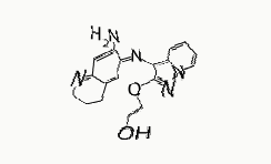 NC1=CC2=NCCCC2=CC1=Nc1c(OCCO)nn2ccccc12